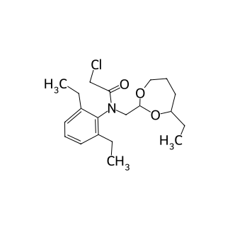 CCc1cccc(CC)c1N(CC1OCCCC(CC)O1)C(=O)CCl